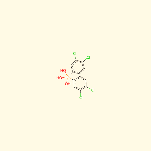 OP(O)(O)(c1ccc(Cl)c(Cl)c1)c1ccc(Cl)c(Cl)c1